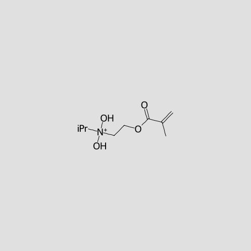 C=C(C)C(=O)OCC[N+](O)(O)C(C)C